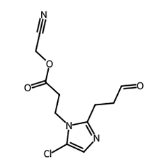 N#CCOC(=O)CCn1c(Cl)cnc1CCC=O